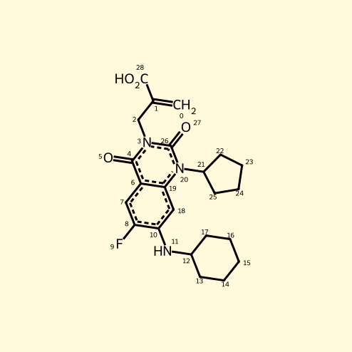 C=C(Cn1c(=O)c2cc(F)c(NC3CCCCC3)cc2n(C2CCCC2)c1=O)C(=O)O